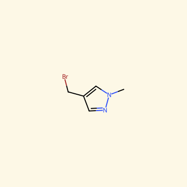 Cn1cc(CBr)cn1